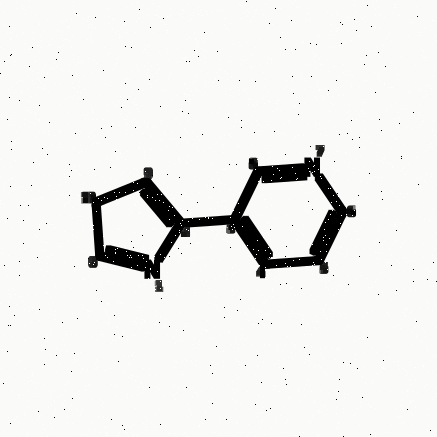 C1=NC(c2cccnc2)=CC1